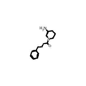 NC1CCCN(C(=O)CCCc2ccccc2)C1